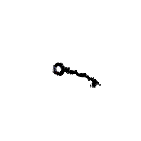 CO[C@H]1C[C@@H]2CCC[C@@](O)(O2)C(=O)C(=O)N2CCCC[C@H]2C(=O)O[C@H]([C@H](N)C[C@@H]2CC[C@@H](OC(=O)NCc3cnc(N4CCN(C(=O)CCOCCN5CCN(c6ncc(C(=O)NCCOCCC(=O)NCCCCn7nc(-c8cnc9[nH]ccc9c8)c8c(N)ncnc87)cn6)CC5)CC4)nc3)[C@H](O)C2)CC(=O)[C@H](C)/C=C(\C)[C@@H](O)[C@@H](O)C(=O)[C@H](C)C[C@H](C)/C=C/C=C/C=C/1C